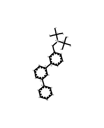 CC(C)(C)N(Cc1cccc(-c2cccc(-c3ccccc3)c2)c1)C(C)(C)C